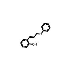 Oc1ccccc1C=CCOc1ccccc1